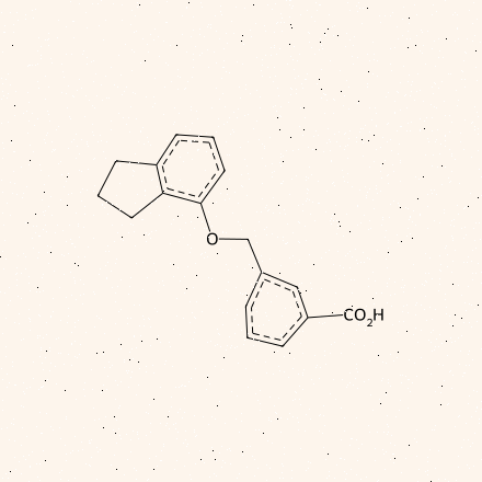 O=C(O)c1cccc(COc2cccc3c2CCC3)c1